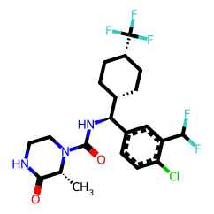 C[C@@H]1C(=O)NCCN1C(=O)N[C@H](c1ccc(Cl)c(C(F)F)c1)[C@H]1CC[C@@H](C(F)(F)F)CC1